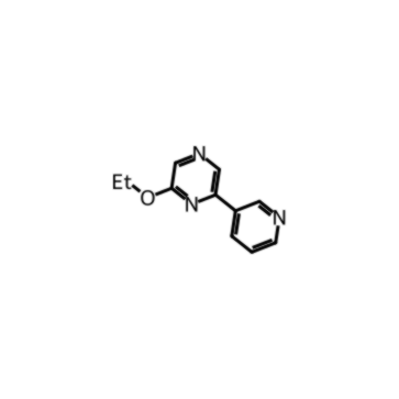 CCOc1cncc(-c2cccnc2)n1